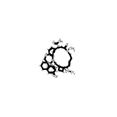 CO[C@H]1/C=C/CCN(C)C(=O)C[C@@H](C(=O)O)c2ccc3c(c2)N(C[C@@]2(CCCc4cc(Cl)ccc42)CO3)C(C)[C@@H]2CC[C@@H]12